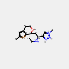 Cc1cc2c(s1)[C@@]1(CCN[C@H](c3cn(C)nn3)C1)OCC2